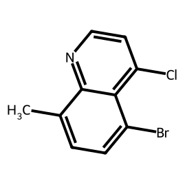 Cc1ccc(Br)c2c(Cl)ccnc12